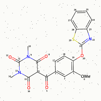 COc1cc(C(=O)C2C(=O)N(C)C(=O)N(C)C2=O)ccc1Oc1nc2ccccc2s1